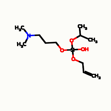 C=CCO[Si](O)(OCCCN(C)C)OC(C)C